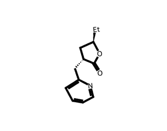 CC[C@@H]1C[C@@H](Cc2ccccn2)C(=O)O1